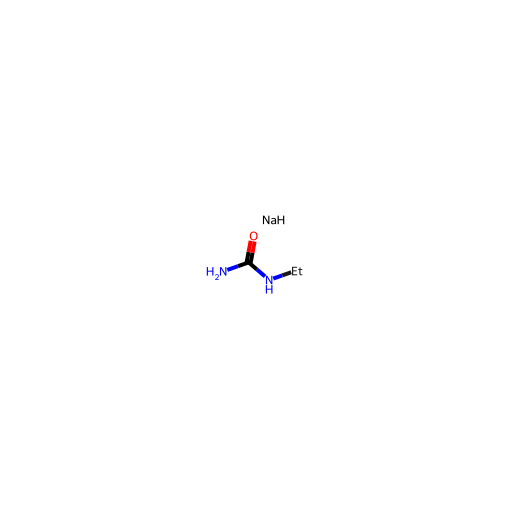 CCNC(N)=O.[NaH]